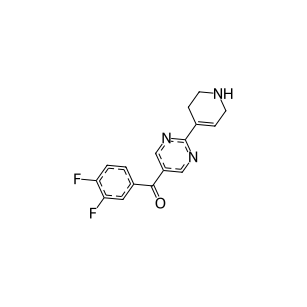 O=C(c1cnc(C2=CCNCC2)nc1)c1ccc(F)c(F)c1